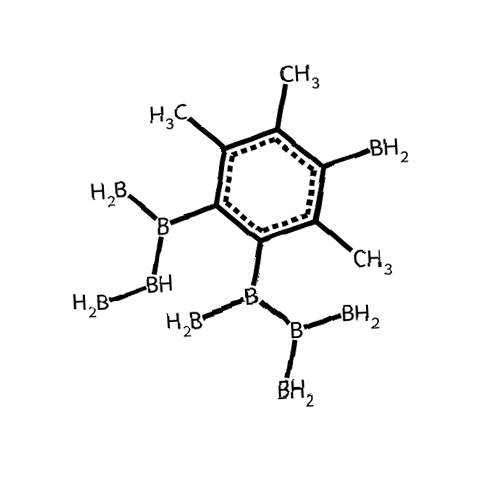 BBB(B)c1c(C)c(C)c(B)c(C)c1B(B)B(B)B